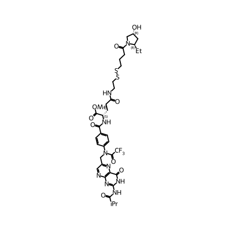 CC[C@@H]1C[C@@H](O)CN1C(=O)CCCSSCCNC(=O)CC[C@H](NC(=O)c1ccc(N(Cc2cnc3nc(NC(=O)C(C)C)[nH]c(=O)c3n2)C(=O)C(F)(F)F)cc1)C(=O)OC